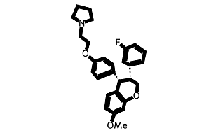 COc1ccc2c(c1)OC[C@@H](c1cccc(F)c1)[C@H]2c1ccc(OCCN2CCCC2)cc1